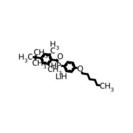 CCCCCCOc1ccc(PC(=O)c2c(C)cc(C(C)(C)C)cc2C)cc1.[LiH]